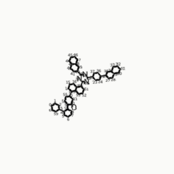 c1ccc(-c2cccc3oc4cc(-c5cccc6c(-c7nc(-c8ccc(-c9ccc%10ccccc%10c9)cc8)nc(-c8ccc9ccccc9c8)n7)cccc56)ccc4c23)cc1